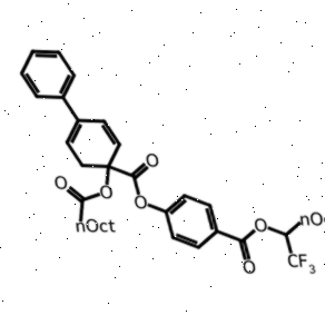 CCCCCCCCC(=O)OC1(C(=O)Oc2ccc(C(=O)OC(CCCCCCCC)C(F)(F)F)cc2)C=CC(c2ccccc2)=CC1